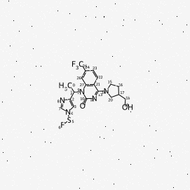 CC(c1cn(SF)cn1)n1c(=O)nc(N2CCC(CO)C2)c2ccc(C(F)(F)F)cc21